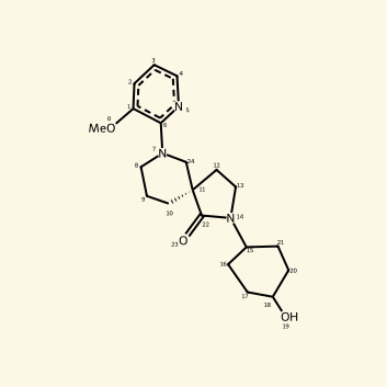 COc1cccnc1N1CCC[C@@]2(CCN(C3CCC(O)CC3)C2=O)C1